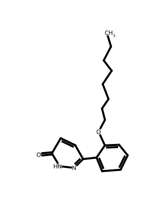 CCCCCCCCOc1ccccc1-c1ccc(=O)[nH]n1